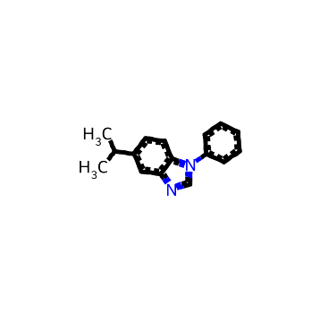 CC(C)c1ccc2c(c1)ncn2-c1ccccc1